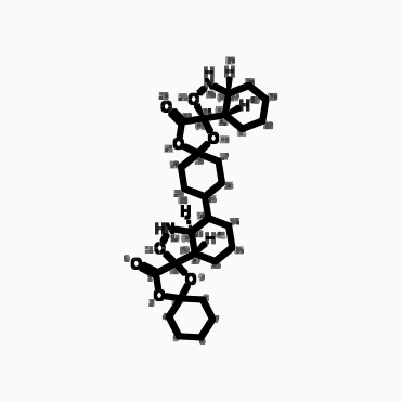 O=C1OC2(CCCCC2)OC12ON[C@H]1C(C3CCC4(CC3)OC(=O)[C@@]3(ON[C@@H]5CCCC[C@@H]53)O4)CCC[C@@H]12